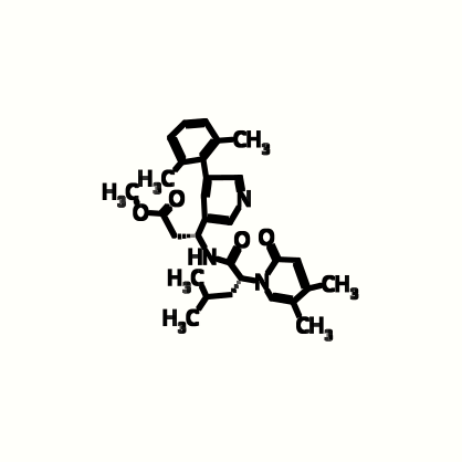 COC(=O)C[C@@H](NC(=O)[C@@H](CC(C)C)n1cc(C)c(C)cc1=O)c1cncc(-c2c(C)cccc2C)c1